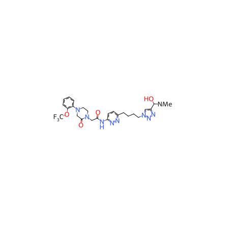 CNC(O)c1cn(CCCCc2ccc(NC(=O)CN3CCN(c4ccccc4OC(F)(F)F)CC3=O)nn2)nn1